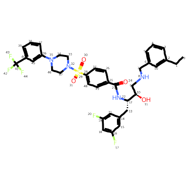 CCc1cccc(CNC[C@@H](O)[C@H](Cc2cc(F)cc(F)c2)NC(=O)c2ccc(S(=O)(=O)N3CCN(c4cccc(C(F)(F)F)c4)CC3)cc2)c1